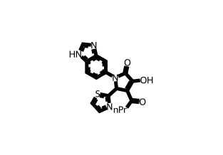 CCCC(=O)C1=C(O)C(=O)N(c2ccc3[nH]cnc3c2)C1c1nccs1